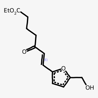 CCOC(=O)CCCC(=O)/C=C/c1ccc(CO)o1